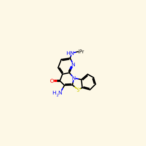 CC(C)Nc1ccc2c(=O)c(N)c3sc4ccccc4n3c2n1